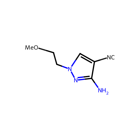 [C-]#[N+]c1cn(CCOC)nc1N